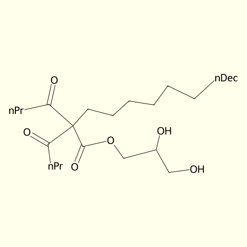 CCCCCCCCCCCCCCCCC(C(=O)CCC)(C(=O)CCC)C(=O)OCC(O)CO